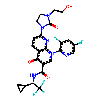 O=C(N[C@H](C1CC1)C(F)(F)F)c1cn(-c2ncc(F)cc2F)c2nc(N3CCN(CCO)C3=O)ccc2c1=O